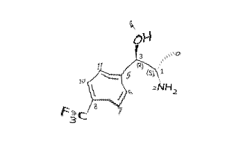 C[C@H](N)[C@H](O)c1ccc(C(F)(F)F)cc1